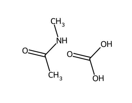 CNC(C)=O.O=C(O)O